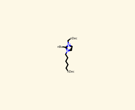 CCCCCCCCCCCCCCCn1cc[n+](CCCCCCCCCCC)c1CCCC